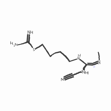 C/N=C(/NC#N)NCCCCSC(=N)N